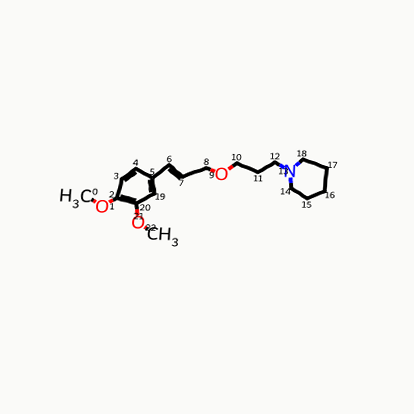 COc1ccc(/C=C/COCCCN2CCCCC2)cc1OC